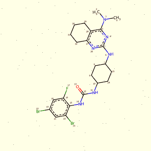 CN(C)c1nc(NC2CCC(NC(=O)Nc3c(F)cc(Br)cc3Br)CC2)nc2c1CCCC2